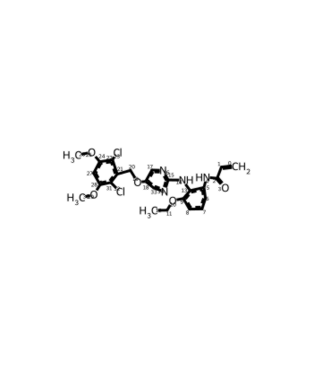 C=CC(=O)Nc1cccc(OCC)c1Nc1ncc(OCc2c(Cl)c(OC)cc(OC)c2Cl)cn1